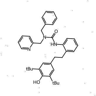 CC(C)(C)c1cc(CCc2ccccc2NC(=O)N(Cc2ccccc2)Cc2ccccn2)cc(C(C)(C)C)c1O